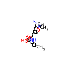 Cc1ccc(C[C@H](NC(=O)CCc2cccc(C=C(C#N)C(=O)N(C)C)c2)B(O)O)cc1